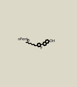 CCCCCOC(C)CCCC=Cc1ccc(-c2ccc3cc(O)ccc3c2)c(F)c1